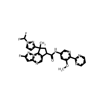 COc1cc(NC(=O)C2CC(C)(c3ccn(C(F)F)n3)c3c2cnc2cc(F)nn32)cnc1-c1ncccn1